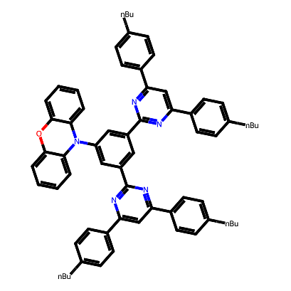 CCCCc1ccc(-c2cc(-c3ccc(CCCC)cc3)nc(-c3cc(-c4nc(-c5ccc(CCCC)cc5)cc(-c5ccc(CCCC)cc5)n4)cc(N4c5ccccc5Oc5ccccc54)c3)n2)cc1